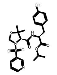 CC(C)OC(=O)[C@H](Cc1ccc(O)cc1)NC(=O)[C@H]1N(S(=O)(=O)c2cccnc2)CSC1(C)C